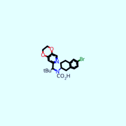 CC(C)(C)C(c1cc2c(cn1)OCCO2)N(C(=O)O)[C@H]1CCc2cc(Br)ccc2C1